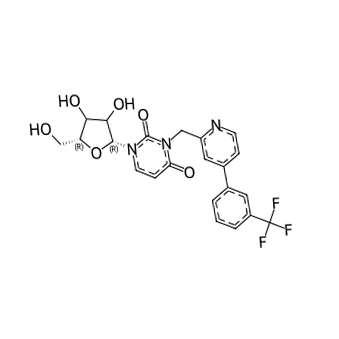 O=c1ccn([C@@H]2O[C@H](CO)C(O)C2O)c(=O)n1Cc1cc(-c2cccc(C(F)(F)F)c2)ccn1